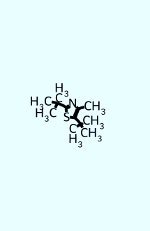 Cc1nc(C(C)(C)C)sc1C(C)(C)C